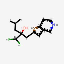 CC(C)CC(O)(Cc1cc2cnccc2s1)C(F)F